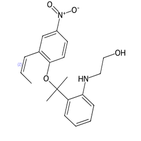 C/C=C\c1cc([N+](=O)[O-])ccc1OC(C)(C)c1ccccc1NCCO